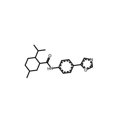 CC1CCC(C(C)C)C(C(=O)Nc2ccc(-c3cnco3)cc2)C1